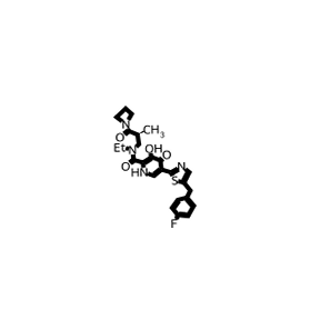 CCN(C[C@@H](C)C(=O)N1CCC1)C(=O)c1[nH]cc(-c2ncc(Cc3ccc(F)cc3)s2)c(=O)c1O